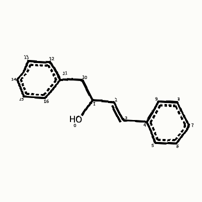 OC(C=Cc1ccccc1)Cc1ccccc1